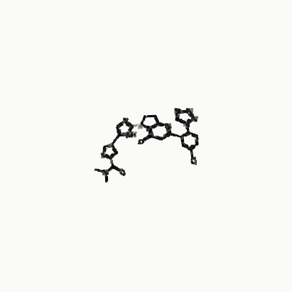 CN(C)C(=O)c1cc(-c2cnc([C@@H]3CCc4nc(-c5cc(Cl)ccc5-n5cnnn5)cc(=O)n43)[nH]2)cs1